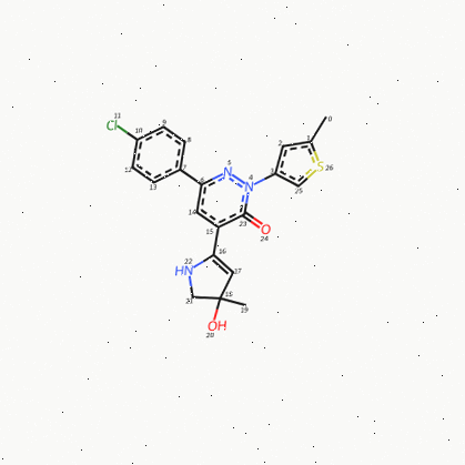 Cc1cc(-n2nc(-c3ccc(Cl)cc3)cc(C3=CC(C)(O)CN3)c2=O)cs1